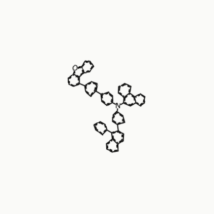 c1ccc(-c2c(-c3ccc(N(c4ccc(-c5ccc(-c6cccc7oc8ccccc8c67)cc5)cc4)c4cc5ccccc5c5ccccc45)cc3)ccc3ccccc23)cc1